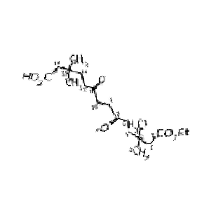 CCOC(=O)CC(C)(C)CCC(=O)CCC(=O)CCC(C)(C)CC(=O)O